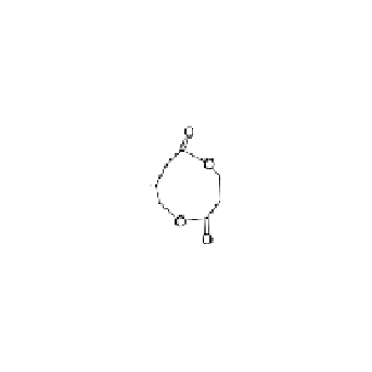 O=C1C[CH]COC(=O)CCO1